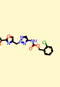 CC(O)c1nc(Cn2ncc(NC(=O)OCc3ccccc3Cl)n2)co1